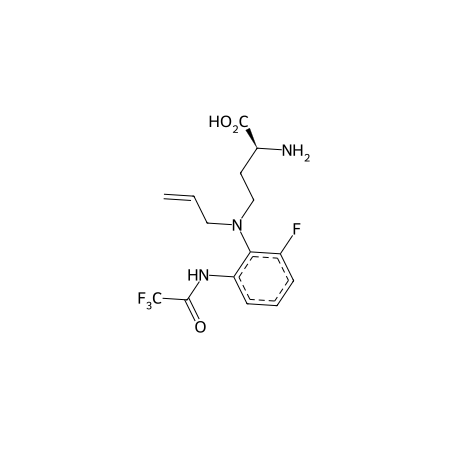 C=CCN(CC[C@H](N)C(=O)O)c1c(F)cccc1NC(=O)C(F)(F)F